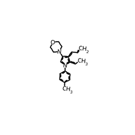 C=C/C=c1/c(N2CCOCC2)cn(-c2ccc(C)cc2)/c1=C/C